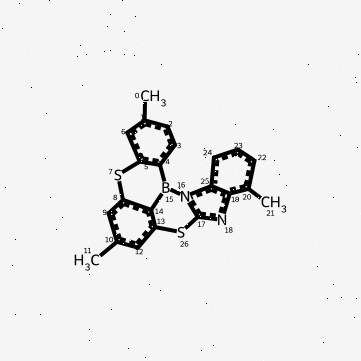 Cc1ccc2c(c1)Sc1cc(C)cc3c1B2n1c(nc2c(C)cccc21)S3